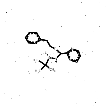 CC(C)(C)[S@+]([O-])NC(CCCc1ccccc1)c1ncccn1